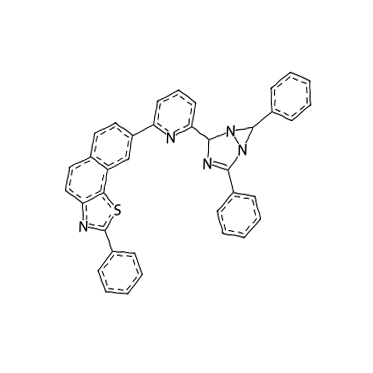 c1ccc(C2=NC(c3cccc(-c4ccc5ccc6nc(-c7ccccc7)sc6c5c4)n3)N3C(c4ccccc4)N23)cc1